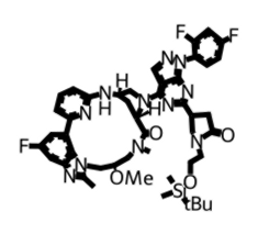 CO[C@H]1CN(C)C(=O)[C@@H]2C[C@@H](CN2c2nc(C3CC(=O)N(CCO[Si](C)(C)C(C)(C)C)C3)nc3c2cnn3-c2ccc(F)cc2F)Nc2cccc(n2)-c2cc(F)cc3nc(C)n(c23)C1